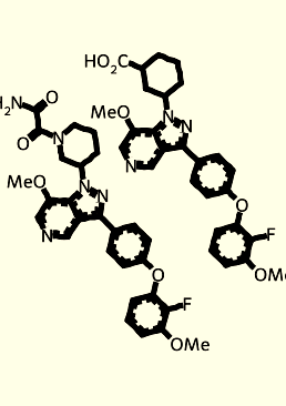 COc1cccc(Oc2ccc(-c3nn(C4CCCC(C(=O)O)C4)c4c(OC)cncc34)cc2)c1F.COc1cccc(Oc2ccc(-c3nn(C4CCCN(C(=O)C(N)=O)C4)c4c(OC)cncc34)cc2)c1F